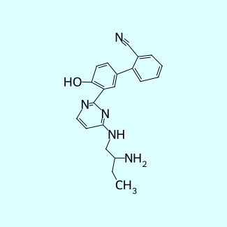 CCC(N)CNc1ccnc(-c2cc(-c3ccccc3C#N)ccc2O)n1